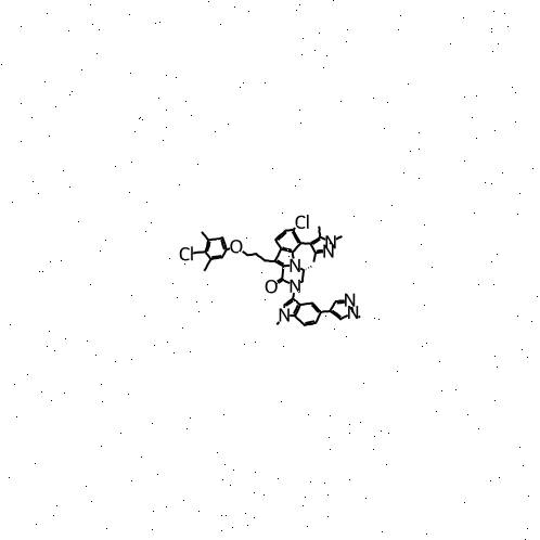 Cc1cc(OCCCc2c3n(c4c(-c5c(C)nn(C)c5C)c(Cl)ccc24)[C@H](C)CN(c2cn(C)c4ccc(-c5cnn(C)c5)cc24)C3=O)cc(C)c1Cl